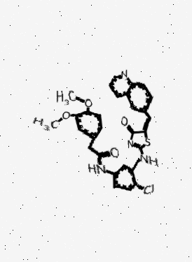 COc1ccc(CC(=O)Nc2ccc(Cl)c(NC3=NC(=O)C(=Cc4ccc5ncccc5c4)S3)c2)cc1OC